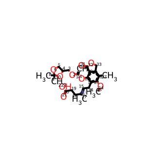 C=C(OCC1COC(C)(C)O1)Oc1c(C/C=C(\C)CCC(=O)O)c(OC)c(C)c2c1C(=O)OC2